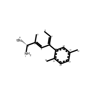 C/C=C(\C=C(/C)[C@H](N)C(C)(C)C)c1cc(C)ccc1C